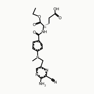 CCOC(=O)[C@H](CCC(=O)O)NC(=O)c1ccc(N(C)Cc2cnc(N)c(C#N)n2)cc1